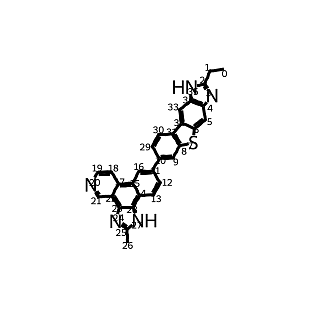 CCc1nc2cc3sc4cc(-c5ccc6c(c5)c5ccncc5c5nc(C)[nH]c65)ccc4c3cc2[nH]1